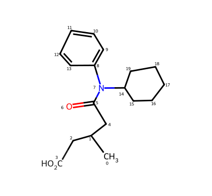 CC(CC(=O)O)CC(=O)N(c1ccccc1)C1CCCCC1